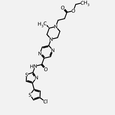 CCOC(=O)CCN1CCN(c2cnc(C(=O)Nc3nc(-c4cc(Cl)cs4)cs3)cn2)C[C@H]1C